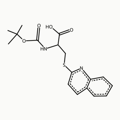 CC(C)(C)OC(=O)NC(CSc1ccc2ccccc2n1)C(=O)O